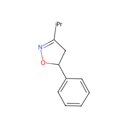 CC(C)C1=NOC(c2ccccc2)C1